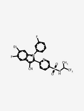 CCc1cc2c(cc1F)c(C#N)c(-c1ccc(S(=O)(=O)NC(C)C(F)(F)F)cn1)n2-c1cccc(F)c1